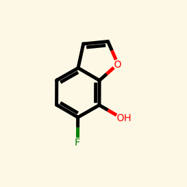 Oc1c(F)ccc2ccoc12